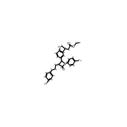 CCOC(=O)CC1COc2ccc(C3C(CCCc4ccc(F)cc4)C(=O)N3c3ccc(F)cc3)cc21